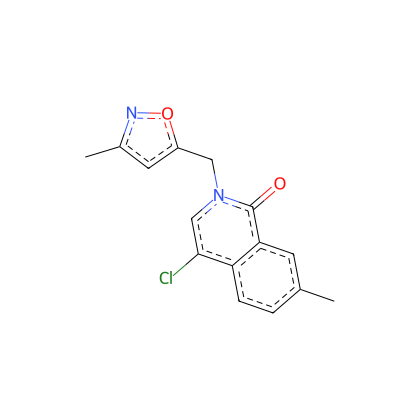 Cc1ccc2c(Cl)cn(Cc3cc(C)no3)c(=O)c2c1